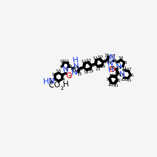 O=C(O)NC1CCC(C(=O)N2CCC[C@H]2c2ncc(-c3ccc(-c4ccc(-c5cnc([C@@H]6CCCN6C(=O)[C@@H](c6ccccc6)N6CCCCC6)[nH]5)cc4)cc3)[nH]2)CC1